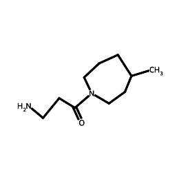 CC1CCCN(C(=O)CCN)CC1